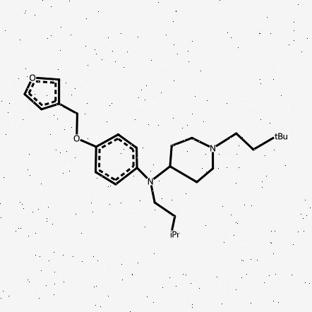 CC(C)CCN(c1ccc(OCc2ccoc2)cc1)C1CCN(CCC(C)(C)C)CC1